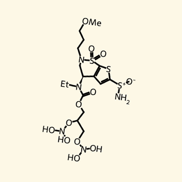 CCN(C(=O)OCC(CON(O)O)ON(O)O)[C@H]1CN(CCCOC)S(=O)(=O)c2sc([S+](N)[O-])cc21